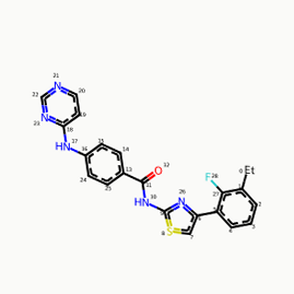 CCc1cccc(-c2csc(NC(=O)c3ccc(Nc4ccncn4)cc3)n2)c1F